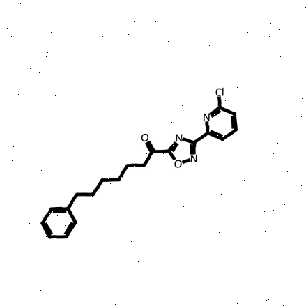 O=C(CCCCCCc1ccccc1)c1nc(-c2cccc(Cl)n2)no1